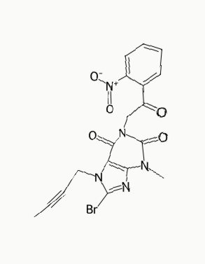 CC#CCn1c(Br)nc2c1c(=O)n(CC(=O)c1ccccc1[N+](=O)[O-])c(=O)n2C